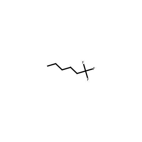 CCC[CH]CC(F)(F)F